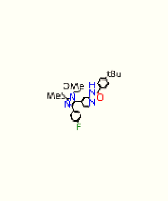 COCCn1c(SC)nc(-c2ccc(F)cc2)c1-c1ccnc(NC(=O)c2ccc(C(C)(C)C)cc2)c1